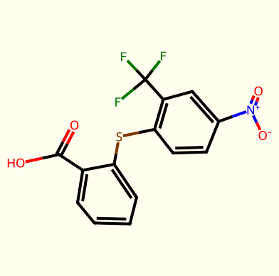 O=C(O)c1ccccc1Sc1ccc([N+](=O)[O-])cc1C(F)(F)F